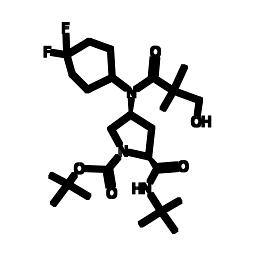 CC(C)(C)NC(=O)[C@@H]1C[C@H](N(C(=O)C(C)(C)CO)C2CCC(F)(F)CC2)CN1C(=O)OC(C)(C)C